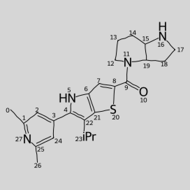 Cc1cc(-c2[nH]c3cc(C(=O)N4CCCC5NCCC54)sc3c2C(C)C)cc(C)n1